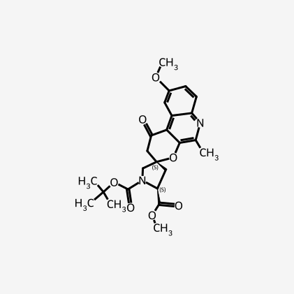 COC(=O)[C@@H]1C[C@]2(CC(=O)c3c(c(C)nc4ccc(OC)cc34)O2)CN1C(=O)OC(C)(C)C